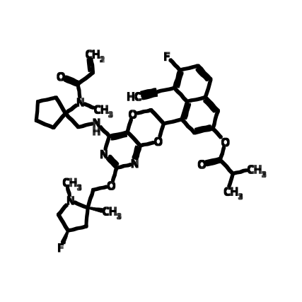 C#Cc1c(F)ccc2cc(OC(=O)C(C)C)cc(C3COc4c(NCC5(N(C)C(=O)C=C)CCCC5)nc(OC[C@]5(C)C[C@@H](F)CN5C)nc4O3)c12